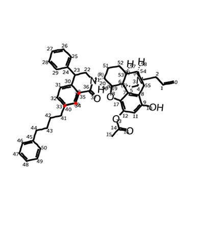 C=CCN1CC[C@]23c4c5c(O)cc(OC(C)=O)c4O[C@H]2[C@H](N(CC(c2ccccc2)c2ccccc2)C(=O)CCCCCCCc2ccccc2)CC[C@H]3[C@H]1C5